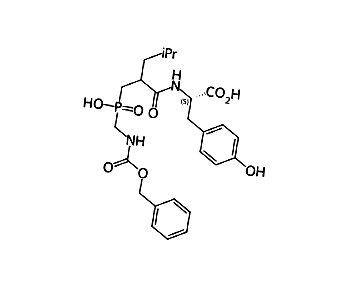 CC(C)CC(CP(=O)(O)CNC(=O)OCc1ccccc1)C(=O)N[C@@H](Cc1ccc(O)cc1)C(=O)O